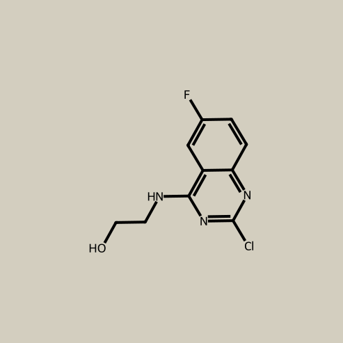 OCCNc1nc(Cl)nc2ccc(F)cc12